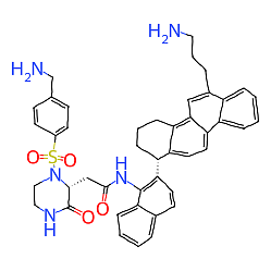 NCCCc1cc2c3c(ccc2c2ccccc12)[C@H](c1ccc2ccccc2c1NC(=O)C[C@@H]1C(=O)NCCN1S(=O)(=O)c1ccc(CN)cc1)CCC3